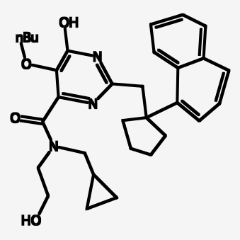 CCCCOc1c(O)nc(CC2(c3cccc4ccccc34)CCCC2)nc1C(=O)N(CCO)CC1CC1